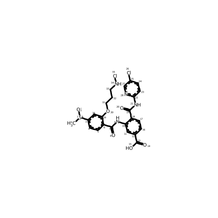 C[S+]([O-])c1ccc(C(=O)Nc2cc(C(=O)O)ccc2C(=O)Nc2ccc(Cl)cn2)c(OCCCNCl)c1